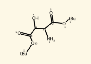 CC(C)(C)OC(=O)C(N)C(O)C(=O)OC(C)(C)C